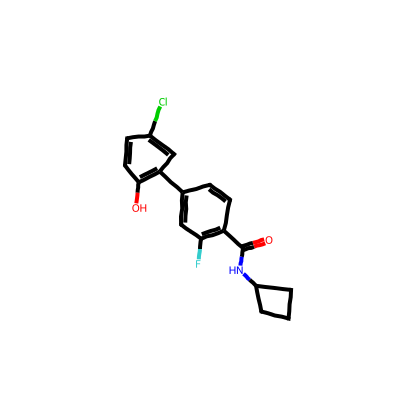 O=C(NC1CCC1)c1ccc(-c2cc(Cl)ccc2O)cc1F